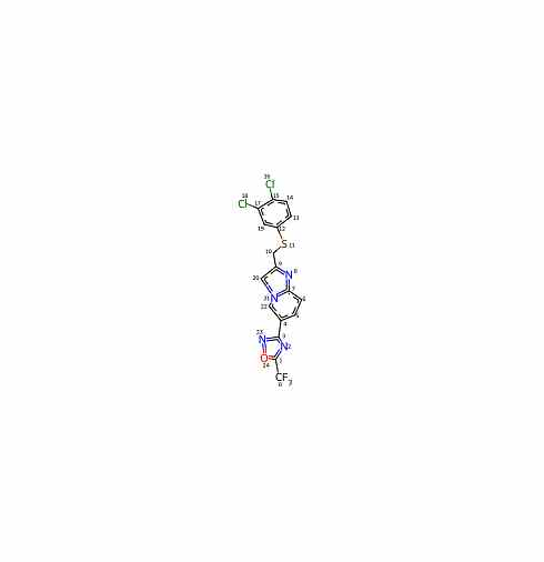 FC(F)(F)c1nc(-c2ccc3nc(CSc4ccc(Cl)c(Cl)c4)cn3c2)no1